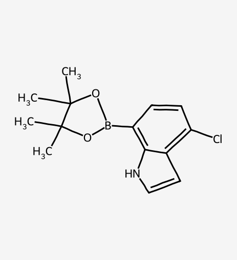 CC1(C)OB(c2ccc(Cl)c3cc[nH]c23)OC1(C)C